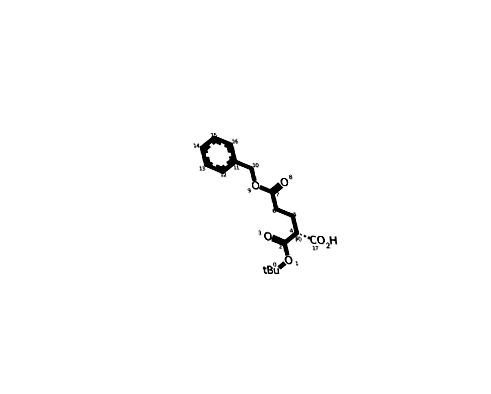 CC(C)(C)OC(=O)[C@H](CCC(=O)OCc1ccccc1)C(=O)O